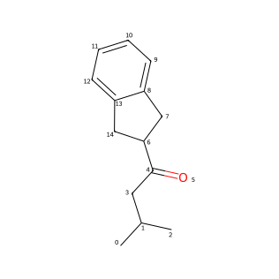 CC(C)CC(=O)C1Cc2ccccc2C1